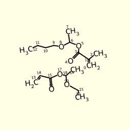 C=C(C)C(=O)OC(C)OCCCC.C=CC(=O)OC(C)OCC